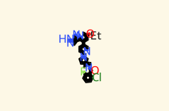 CCOc1cc(-c2ccc(N3CCC4(CN(C(=O)c5c(F)cccc5Cl)C4)C3)nc2)c2c3cn[nH]c3nn2c1